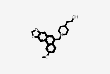 COc1ccc2c(CN3CCC(CCO)CC3)cc3cc4c(cc3c2c1)OCO4